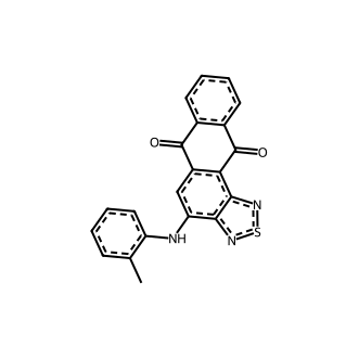 Cc1ccccc1Nc1cc2c(c3nsnc13)C(=O)c1ccccc1C2=O